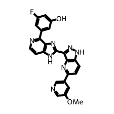 COc1cncc(-c2ccc3[nH]nc(-c4nc5c(-c6cc(O)cc(F)c6)nccc5[nH]4)c3n2)c1